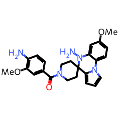 COc1ccc2c(c1)N(N)C1(CCN(C(=O)c3ccc(N)c(OC)c3)CC1)c1cccn1-2